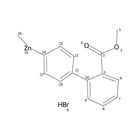 Br.COC(=O)c1ccccc1-c1cc[c]([Zn][CH3])cc1